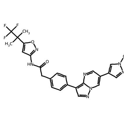 Cn1cc(-c2cnc3c(-c4ccc(CC(=O)Nc5cc(C(C)(C)C(F)(F)F)on5)cc4)cnn3c2)cn1